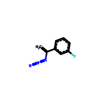 C=C(N=[N+]=[N-])c1cccc(F)c1